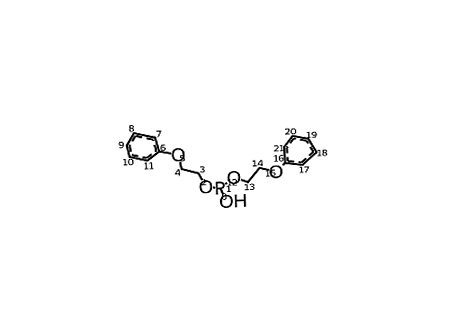 OP(OCCOc1ccccc1)OCCOc1ccccc1